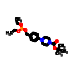 CCOP(OCC)OCc1ccc(N2CCN(C(=O)OC(C)(C)C)CC2)cc1